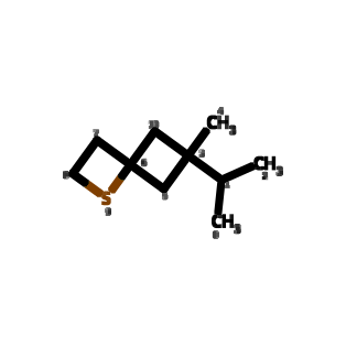 CC(C)C1(C)CC2(CCS2)C1